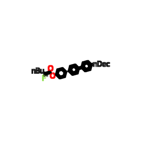 CCCCCCCCCCc1ccc(-c2ccc([C@H]3CC[C@H](OC(=O)[C@@H](F)CCCC)CC3)cc2)cc1